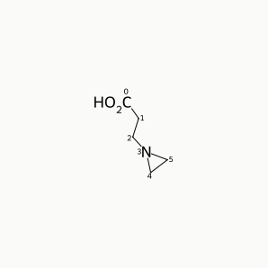 O=C(O)CCN1CC1